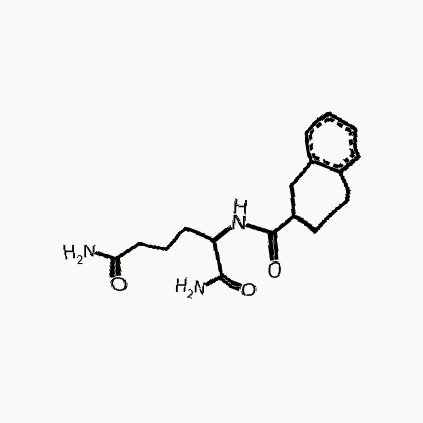 NC(=O)CCCC(NC(=O)C1CCc2ccccc2C1)C(N)=O